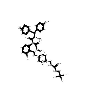 COC(=O)N(C(=O)[C@@H](N)C(c1ccc(Cl)cc1)c1ccc(Cl)cc1)c1cccc(F)c1CC[C@@H]1CN[C@H](COC(=O)NCC(F)(F)F)CO1